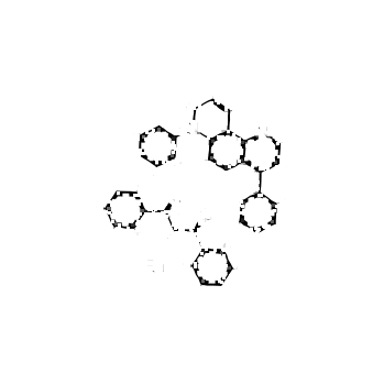 C1=Cc2c(ccc3c(-c4ccccc4)ccnc23)N(c2ccccc2)C1.O=C(CC(=O)c1ccccc1)c1ccccc1.[Eu]